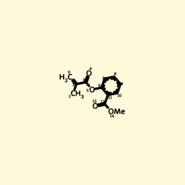 C=C(C)C(=O)Oc1ccccc1C(=O)OC